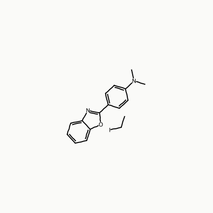 CCI.CN(C)c1ccc(-c2nc3ccccc3o2)cc1